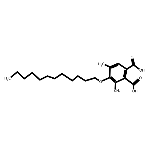 CCCCCCCCCCCCOc1c(C)cc(C(=O)O)c(C(=O)O)c1C